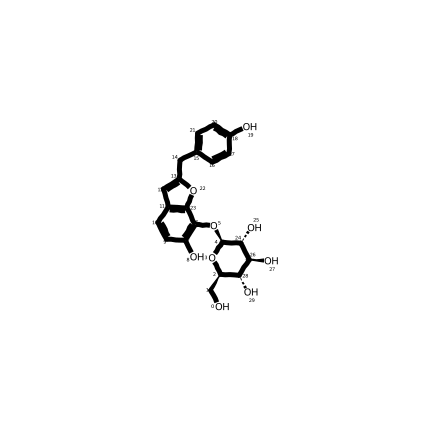 OC[C@H]1O[C@@H](Oc2c(O)ccc3cc(Cc4ccc(O)cc4)oc23)[C@H](O)[C@@H](O)[C@@H]1O